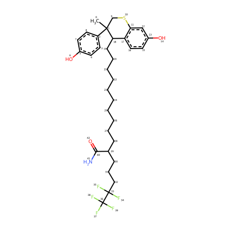 CC1(c2ccc(O)cc2)CSc2cc(O)ccc2C1CCCCCCCCCCC(CCCC(F)(F)C(F)(F)F)C(N)=O